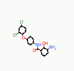 Nc1cccc(C(=O)Nc2ccc(Oc3ccc(Cl)cc3Cl)cc2)c1O